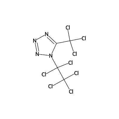 ClC(Cl)(Cl)c1nnnn1C(Cl)(Cl)C(Cl)(Cl)Cl